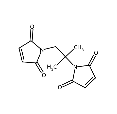 CC(C)(CN1C(=O)C=CC1=O)N1C(=O)C=CC1=O